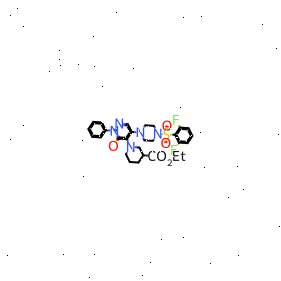 CCOC(=O)C1CCCN(c2c(N3CCN(S(=O)(=O)c4c(F)cccc4F)CC3)cnn(-c3ccccc3)c2=O)C1